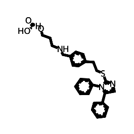 O=[PH](O)OCCCNCc1ccc(CCSc2ncc(-c3ccccc3)n2-c2ccccc2)cc1